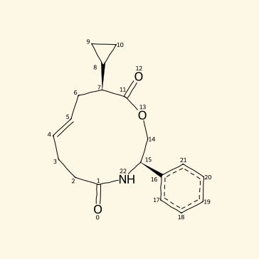 O=C1CC/C=C/C[C@@H](C2CC2)C(=O)OC[C@@H](c2ccccc2)N1